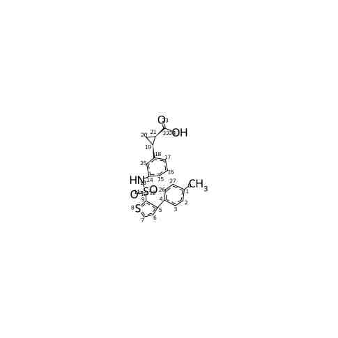 Cc1ccc(-c2ccsc2S(=O)(=O)Nc2cccc([C@H]3C[C@H]3C(=O)O)c2)cc1